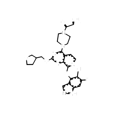 C=CC(=O)N1CCN(c2nc(OCC3CCOC3)nc3c(Oc4c(Cl)c(F)cc5[nH]ncc45)nccc23)CC1